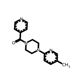 Cc1ccc(N2CCN(C(=O)c3ccncc3)CC2)nc1